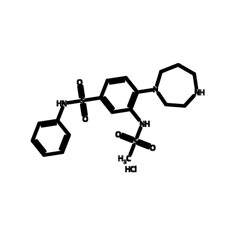 CS(=O)(=O)Nc1cc(S(=O)(=O)Nc2ccccc2)ccc1N1CCCNCC1.Cl